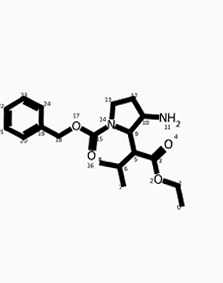 CCOC(=O)C(C(C)C)C1C(N)CCN1C(=O)OCc1ccccc1